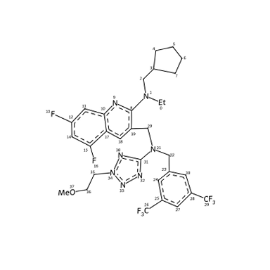 CCN(CC1CCCC1)c1nc2cc(F)cc(F)c2cc1CN(Cc1cc(C(F)(F)F)cc(C(F)(F)F)c1)c1nnn(CCOC)n1